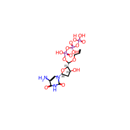 C=CCOC(OP(=O)(O)OP(=O)(O)OP(=O)(O)O)[C@H]1O[C@@H](n2cc(N)c(=O)[nH]c2=O)C[C@@H]1O